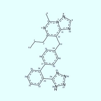 CCCc1nc(C)n2ncnc2c1Cc1ccc(-c2ccccc2-c2nnn[nH]2)cc1